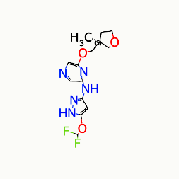 C[C@]1(COc2cncc(Nc3cc(OC(F)F)[nH]n3)n2)CCOC1